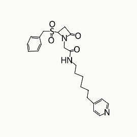 O=C(CN1C(=O)CC1S(=O)(=O)Cc1ccccc1)NCCCCCCc1ccncc1